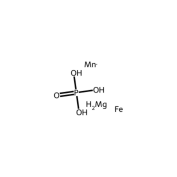 O=P(O)(O)O.[Fe].[MgH2].[Mn]